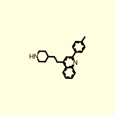 Cc1ccc(-c2cc(CCC3CCNCC3)c3ccccc3n2)cc1